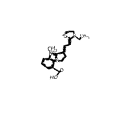 CCN1CCSC1=CC=C1CCn2c1[n+](C)c1cccc(C(=O)O)c12